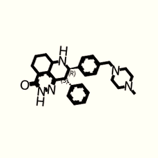 CN1CCN(Cc2ccc([C@@H]3NC4CCCc5c4c(n[nH]c5=O)[C@H]3c3ccccc3)cc2)CC1